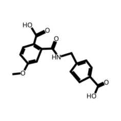 COc1ccc(C(=O)O)c(C(=O)NCc2ccc(C(=O)O)cc2)c1